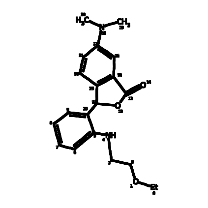 CCOCCNc1ccccc1C1OC(=O)c2cc(N(C)C)ccc21